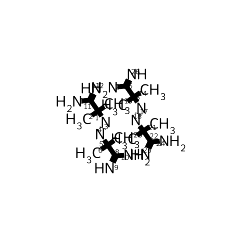 CC(C)(N=NC(C)(C)C(=N)N)C(=N)N.CC(C)(N=NC(C)(C)C(=N)N)C(=N)N